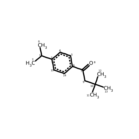 CC(C)c1ccc(C(=O)CC(C)(C)C)cc1